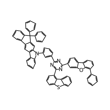 c1ccc(-c2cccc3c2oc2cc(-c4nc(-c5cccc(-n6c7ccccc7c7cc8c(cc76)C(c6ccccc6)(c6ccccc6)c6ccccc6-8)c5)nc(-c5cccc6sc7ccccc7c56)n4)ccc23)cc1